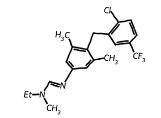 CCN(C)C=Nc1cc(C)c(Cc2cc(C(F)(F)F)ccc2Cl)c(C)c1